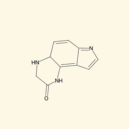 O=C1CNC2C=CC3=NC=CC3=C2N1